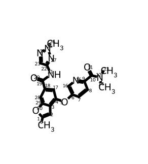 Cc1cc2c(Oc3ccc(C(=O)N(C)C)nc3)cc(C(=O)Nc3cnn(C)n3)cc2o1